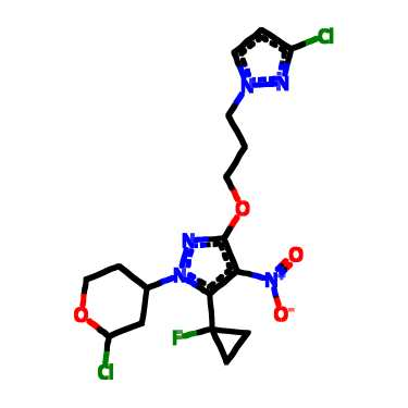 O=[N+]([O-])c1c(OCCCn2ccc(Cl)n2)nn(C2CCOC(Cl)C2)c1C1(F)CC1